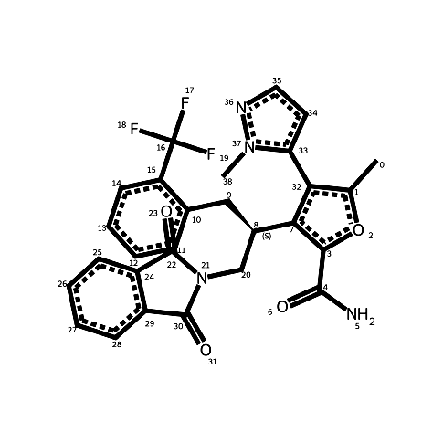 Cc1oc(C(N)=O)c([C@H](Cc2ccccc2C(F)(F)F)CN2C(=O)c3ccccc3C2=O)c1-c1ccnn1C